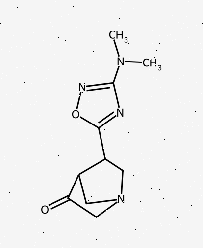 CN(C)c1noc(C2CN3CC(=O)C2C3)n1